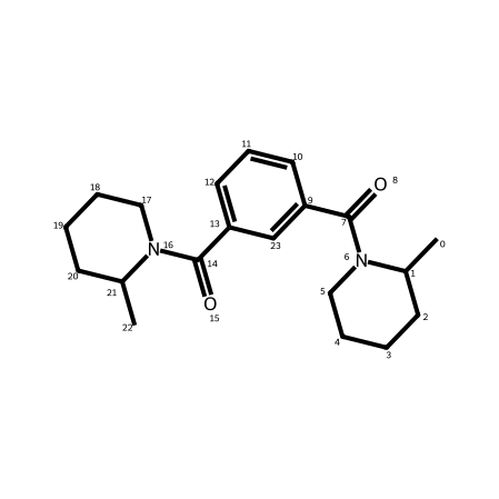 CC1CCCCN1C(=O)c1cccc(C(=O)N2CCCCC2C)c1